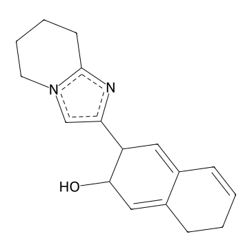 OC1C=C2CCC=CC2=CC1c1cn2c(n1)CCCC2